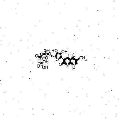 Cc1c[nH]c2nc(=O)c([C@@H]3O[C@H](COP(=O)(O)OP(=O)(O)OP(=O)(O)O)[C@H](O)C3O)cc-2c1C